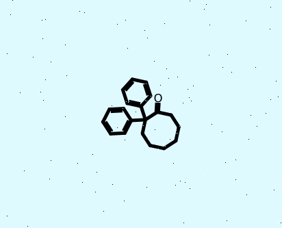 O=C1CCCCCCC1(c1ccccc1)c1ccccc1